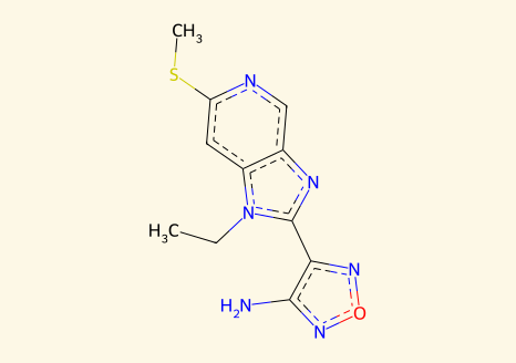 CCn1c(-c2nonc2N)nc2cnc(SC)cc21